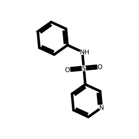 O=S(=O)(Nc1cc[c]cc1)c1cccnc1